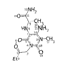 CCC(=O)Cn1c(=O)c(N[C@@H](C)C(N)=O)c(N)n(C)c1=O